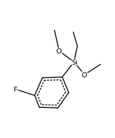 CC[Si](OC)(OC)c1cccc(F)c1